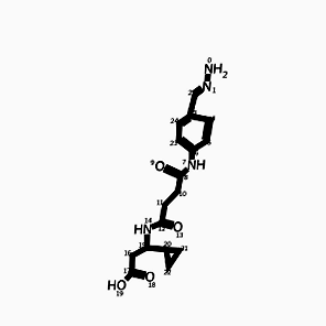 NN=Cc1ccc(NC(=O)CCC(=O)NC(CC(=O)O)C2CC2)cc1